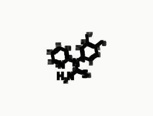 Cc1ccc(N(C(N)=S)c2ccccn2)cc1C